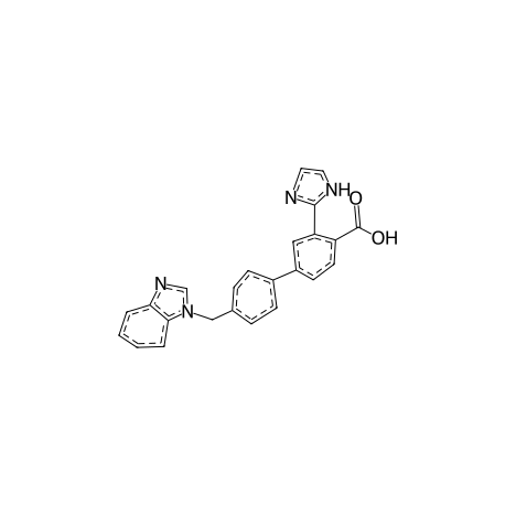 O=C(O)c1ccc(-c2ccc(Cn3cnc4ccccc43)cc2)cc1-c1ncc[nH]1